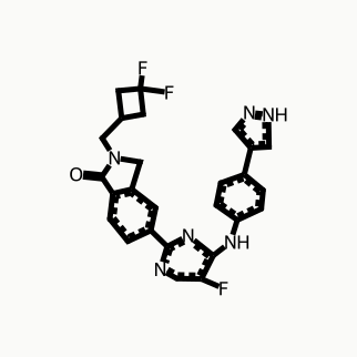 O=C1c2ccc(-c3ncc(F)c(Nc4ccc(-c5cn[nH]c5)cc4)n3)cc2CN1CC1CC(F)(F)C1